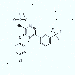 CS(=O)(=O)Nc1nnc(-c2cccc(C(F)(F)F)c2)nc1Oc1ccc(Cl)nc1